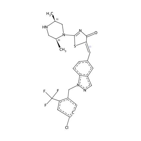 C[C@H]1CN(C2=NC(=O)/C(=C/c3ccc4c(cnn4Cc4ccc(Cl)cc4C(F)(F)F)c3)S2)[C@@H](C)CN1